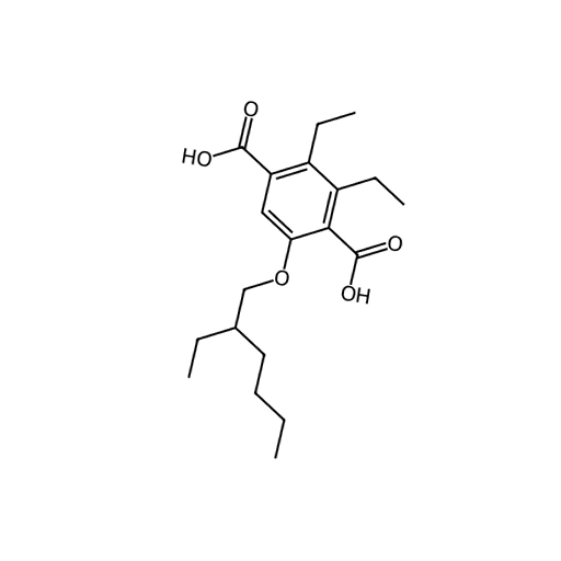 CCCCC(CC)COc1cc(C(=O)O)c(CC)c(CC)c1C(=O)O